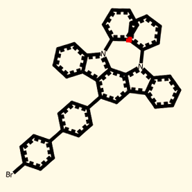 Brc1ccc(-c2ccc(-c3cc4c5ccccc5n(-c5ccccc5)c4c4c3c3ccccc3n4-c3ccccc3)cc2)cc1